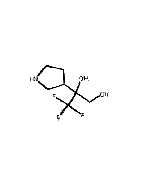 OCC(O)(C1CCNC1)C(F)(F)F